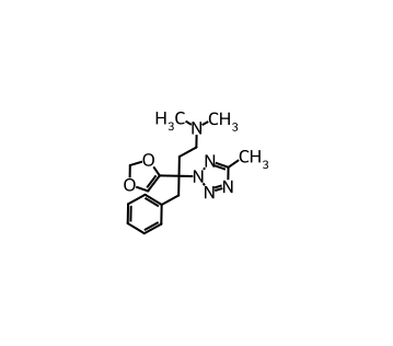 Cc1nnn(C(CCN(C)C)(Cc2ccccc2)C2=COCO2)n1